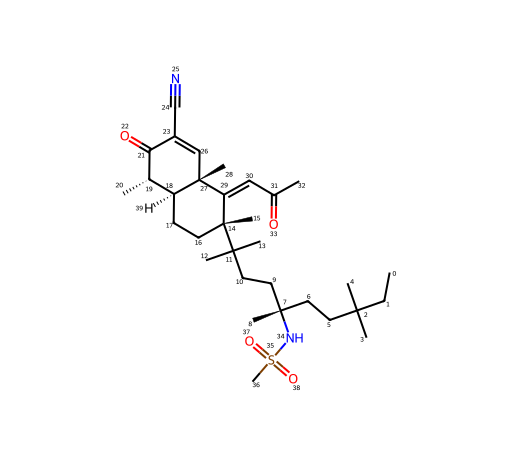 CCC(C)(C)CC[C@@](C)(CCC(C)(C)[C@]1(C)CC[C@H]2[C@H](C)C(=O)C(C#N)=C[C@]2(C)/C1=C/C(C)=O)NS(C)(=O)=O